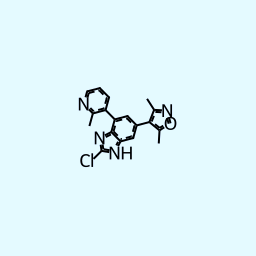 Cc1ncccc1-c1cc(-c2c(C)noc2C)cc2[nH]c(Cl)nc12